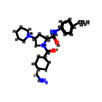 NC[C@H]1CC[C@H](C(=O)N2CC(N3CCCCC3)C[C@H]2C(=O)Nc2ccc(C(=O)O)cc2)CC1